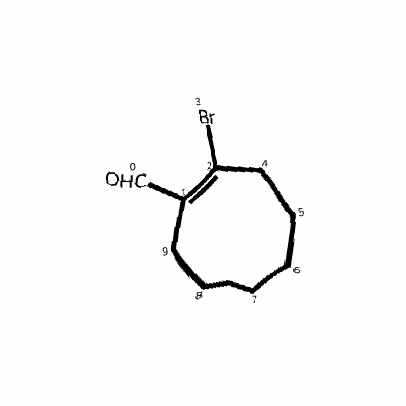 O=CC1=C(Br)CCCCCC1